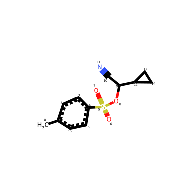 Cc1ccc(S(=O)(=O)OC(C#N)C2CC2)cc1